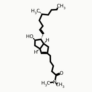 CCCC[C@@H](C)CC/C=C/[C@@H]1[C@H]2CC(CCCCC(=O)N(C)C)=C[C@H]2C[C@H]1O